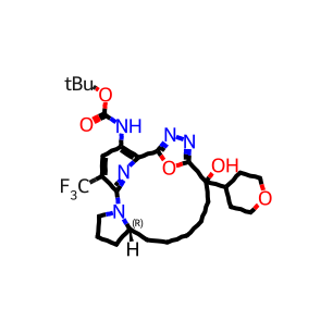 CC(C)(C)OC(=O)Nc1cc(C(F)(F)F)c2nc1-c1nnc(o1)C(O)(C1CCOCC1)CCCCC[C@@H]1CCCN21